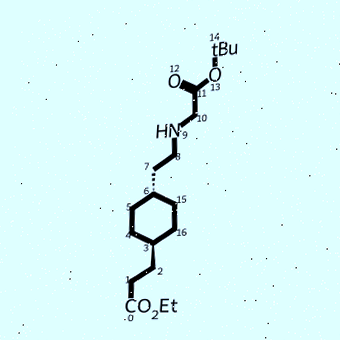 CCOC(=O)CC[C@H]1CC[C@H](CCNCC(=O)OC(C)(C)C)CC1